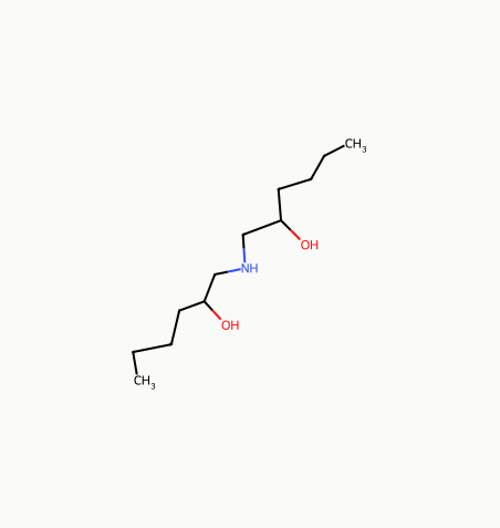 CCCCC(O)CNCC(O)CCCC